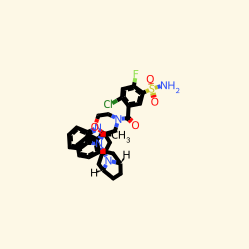 Cc1nc2ccccc2n1C1C[C@H]2CC[C@@H](C1)N2CCC1(c2ccccc2)CN(C(=O)c2cc(S(N)(=O)=O)c(F)cc2Cl)CCO1